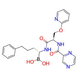 O=C(N[C@H](COc1ccccn1)C(=O)N[C@@H](CCCc1ccccc1)B(O)O)c1cnccn1